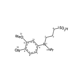 CCCN(CCCS(=O)(=O)O)c1ccc(N=O)c(OC)c1